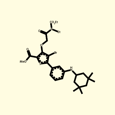 CCOC(=O)N(CC)C(=O)COc1c(C(=O)OC)sc(-c2cccc(NC3CC(C)(C)CC(C)(C)C3)c2)c1Br